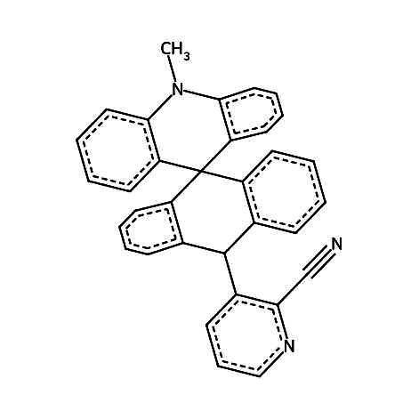 CN1c2ccccc2C2(c3ccccc3C(c3cccnc3C#N)c3ccccc32)c2ccccc21